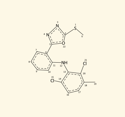 CSc1nnc(-c2ccccc2Nc2c(Cl)ccc(C)c2Cl)o1